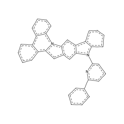 c1ccc(-c2cccc(-n3c4ccccc4c4cc5c(cc43)cc3c4ccccc4c4ccccc4n53)n2)cc1